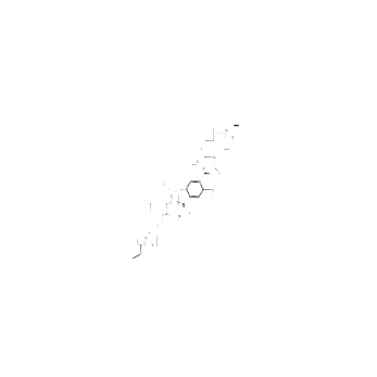 C=CC(=O)NCCOC(=O)C(CC(C)C)N1C(=O)c2cc(C=O)c(C(=O)N(C)C(CC(C)C)C(=O)OCCNC(C)=O)cc2C1=O